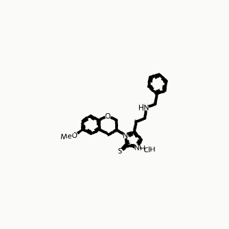 COc1ccc2c(c1)CC(n1c(CCNCc3ccccc3)c[nH]c1=S)CO2.Cl